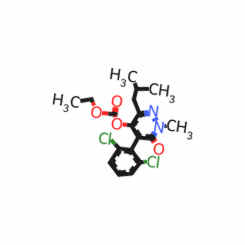 CCOC(=O)Oc1c(CC(C)C)nn(C)c(=O)c1-c1c(Cl)cccc1Cl